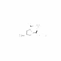 COC(=O)[C@H]1C[C@H](CN)CN1C(=O)OC(C)(C)C